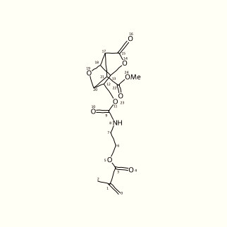 C=C(C)C(=O)OCCNC(=O)OC1C2OC(=O)C3C2OC1C3C(=O)OC